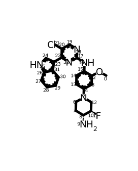 COc1cc(N2CC[C@@H](N)[C@H](F)C2)ccc1Nc1ncc(Cl)c(-c2c[nH]c3ccccc23)n1